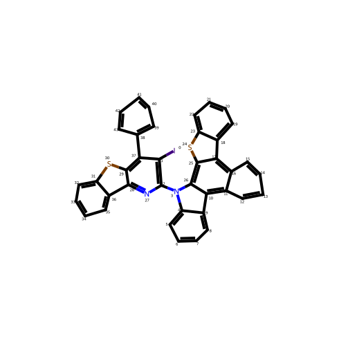 Ic1c(-n2c3ccccc3c3c4ccccc4c4c5ccccc5sc4c32)nc2c(sc3ccccc32)c1-c1ccccc1